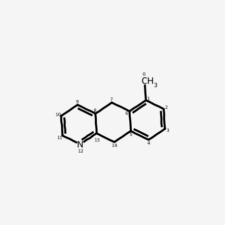 Cc1cccc2c1Cc1cccnc1C2